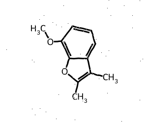 COc1cccc2c(C)c(C)oc12